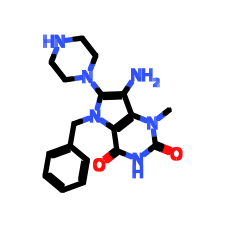 Cn1c(=O)[nH]c(=O)c2c1c(N)c(N1CCNCC1)n2Cc1ccccc1